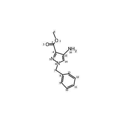 COC(=O)c1nn(Cc2ccccc2)cc1N